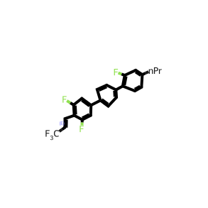 CCCc1ccc(-c2ccc(-c3cc(F)c(/C=C/C(F)(F)F)c(F)c3)cc2)c(F)c1